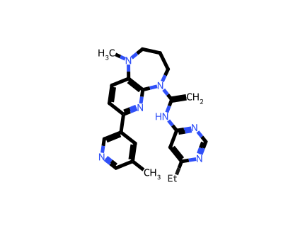 C=C(Nc1cc(CC)ncn1)N1CCCN(C)c2ccc(-c3cncc(C)c3)nc21